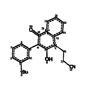 CC(C)(C)c1cccc(-c2c(O)n(CCC#N)c3cccc[n+]3c2=O)c1